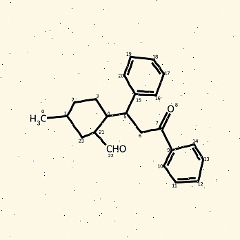 CC1CCC(C(CC(=O)c2ccccc2)c2ccccc2)C(C=O)C1